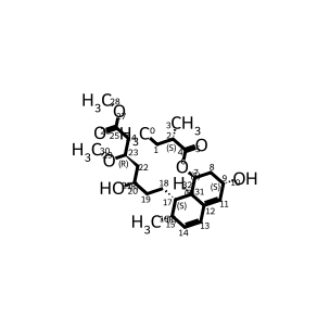 CC[C@H](C)C(=O)O[C@H]1C[C@H](O)C=C2C=C[C@H](C)[C@H](CC[C@@H](O)C[C@H](CC(=O)OC)OC)[C@H]21